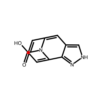 O=C(O)N1C2=Cc3c[nH]nc3C1=CC=C2